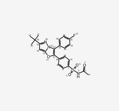 CC(=O)NS(=O)(=O)c1ccc(-c2oc3cc(C(C)(C)C)nn3c2-c2ccc(F)cc2)cc1